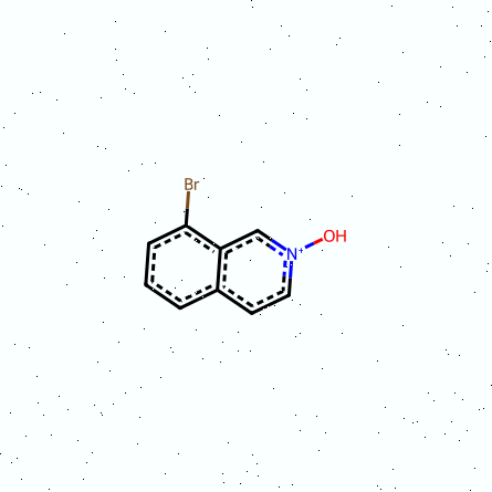 O[n+]1ccc2cccc(Br)c2c1